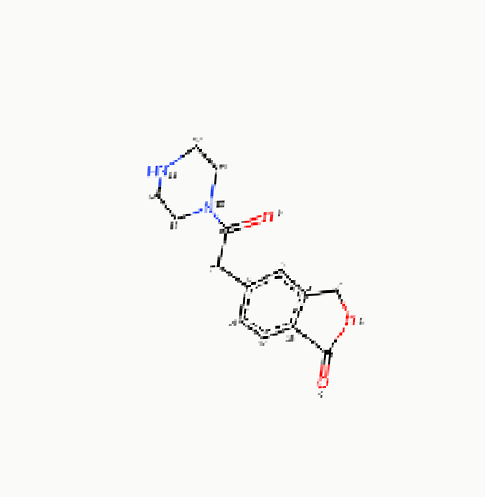 O=C1OCc2cc(CC(=O)N3CCNCC3)ccc21